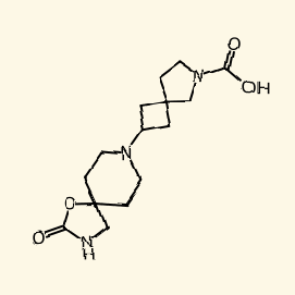 O=C1NCC2(CCN(C3CC4(CCN(C(=O)O)C4)C3)CC2)O1